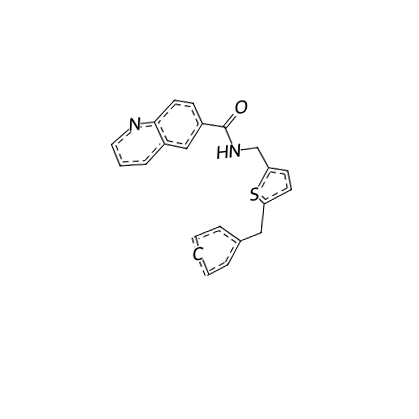 O=C(NCc1ccc(Cc2ccccc2)s1)c1ccc2ncccc2c1